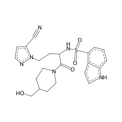 N#Cc1ccnn1CCC(NS(=O)(=O)c1cccc2[nH]ccc12)C(=O)N1CCC(CO)CC1